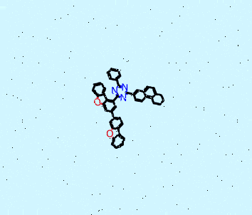 C1=Cc2c(ccc3cc(-c4nc(-c5ccccc5)nc(-c5cc(-c6ccc7c(c6)oc6ccccc67)cc6oc7ccccc7c56)n4)ccc23)CC1